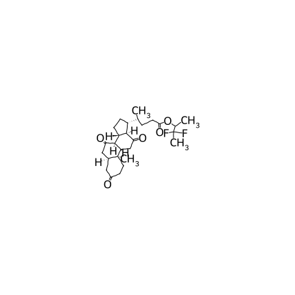 CC(CCC(=O)OC(C)C(C)(F)F)[C@H]1CC[C@@H]2[C@@H]1C(=O)C[C@H]1[C@H]2C(=O)C[C@@H]2CC(=O)CC[C@@]21C